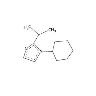 CC(C)c1nccn1C1CCCCC1